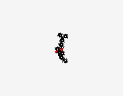 c1ccc(N(c2ccccc2)c2ccc(-c3ccc(N4c5ccccc5C5(c6ccccc6N6Cc7ccc(-c8ncccn8)cc7-c7cccc5c76)c5ccccc54)cc3)cc2)cc1